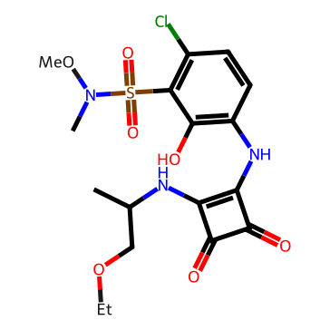 CCOCC(C)Nc1c(Nc2ccc(Cl)c(S(=O)(=O)N(C)OC)c2O)c(=O)c1=O